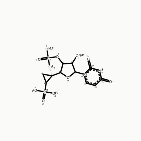 COC1C(OP(C)(=O)OC)C(C2CC2P(=O)(O)O)OC1n1ccc(=O)[nH]c1=O